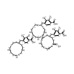 Cl.O=C(O)c1ccc(CN2CCCCNCCNCCNCC2)c(Cl)c1Cl.O=C(O)c1ccc(CN2CCCCNCCNCCNCC2)c(Cl)c1Cl.O=C(O)c1ccc(CN2CCCCNCCNCCNCC2)c(Cl)c1Cl.[Co]